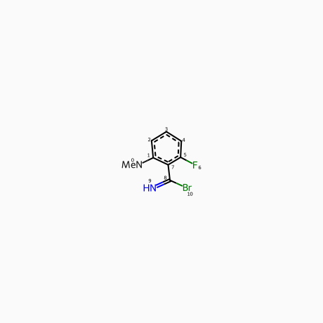 CNc1cccc(F)c1C(=N)Br